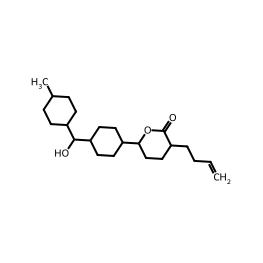 C=CCCC1CCC(C2CCC(C(O)C3CCC(C)CC3)CC2)OC1=O